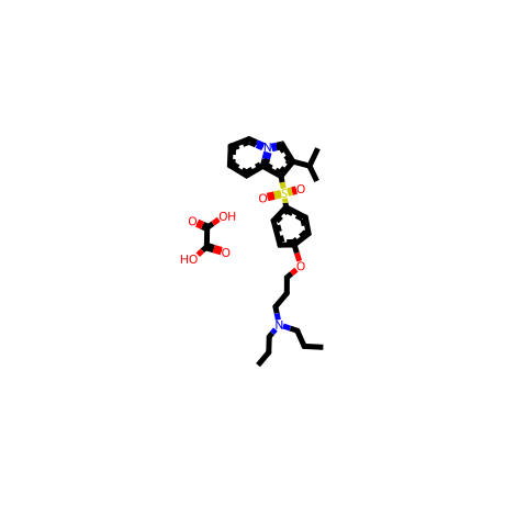 CCCN(CCC)CCCOc1ccc(S(=O)(=O)c2c(C(C)C)cn3ccccc23)cc1.O=C(O)C(=O)O